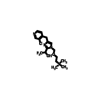 C[Si](C)(C)CCOCn1cc(Cc2ccncc2Cl)nc1C(O)C(F)(F)F